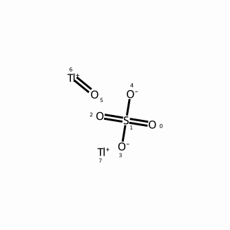 O=S(=O)([O-])[O-].[O]=[Tl+].[Tl+]